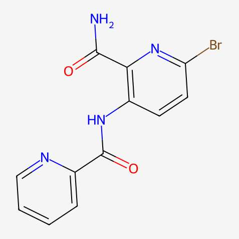 NC(=O)c1nc(Br)ccc1NC(=O)c1ccccn1